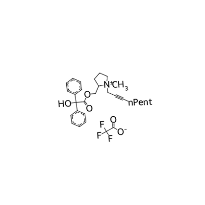 CCCCCC#CC[N@+]1(C)CCCC1COC(=O)C(O)(c1ccccc1)c1ccccc1.O=C([O-])C(F)(F)F